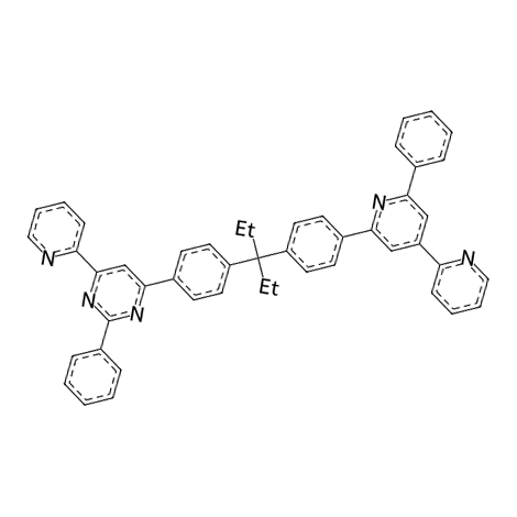 CCC(CC)(c1ccc(-c2cc(-c3ccccn3)cc(-c3ccccc3)n2)cc1)c1ccc(-c2cc(-c3ccccn3)nc(-c3ccccc3)n2)cc1